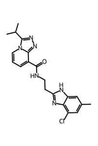 Cc1cc(Cl)c2nc(CCNC(=O)c3cccn4c(C(C)C)nnc34)[nH]c2c1